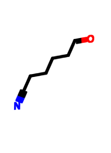 N#CCCCCC=O